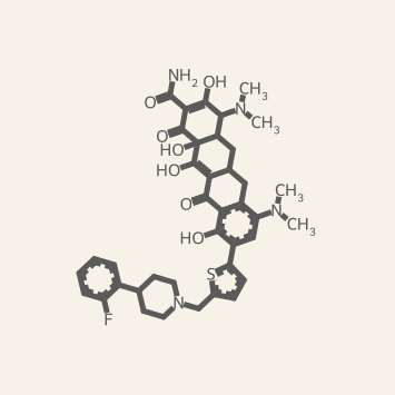 CN(C)c1cc(-c2ccc(CN3CCC(c4ccccc4F)CC3)s2)c(O)c2c1CC1CC3C(N(C)C)C(O)=C(C(N)=O)C(=O)C3(O)C(O)=C1C2=O